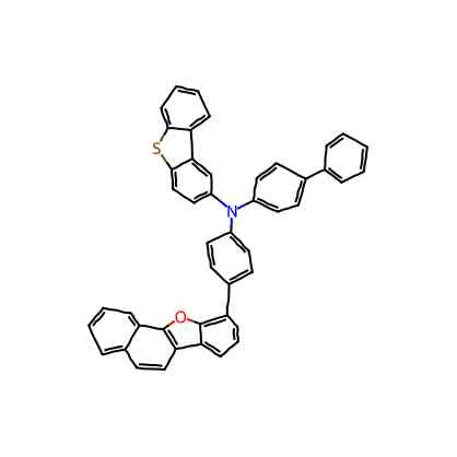 c1ccc(-c2ccc(N(c3ccc(-c4cccc5c4oc4c6ccccc6ccc54)cc3)c3ccc4sc5ccccc5c4c3)cc2)cc1